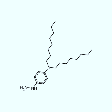 CCCCCCCCN(CCCCCCCC)c1ccc(NN)cc1